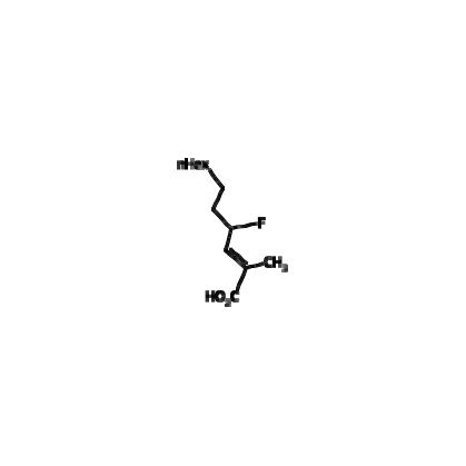 CCCCCCCCC(F)C=C(C)C(=O)O